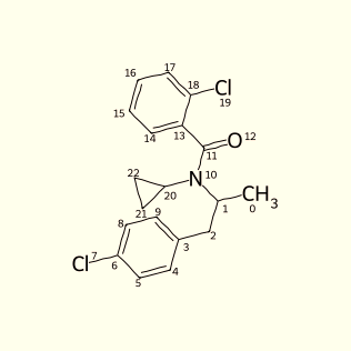 CC(Cc1ccc(Cl)cc1)N(C(=O)c1ccccc1Cl)C1CC1